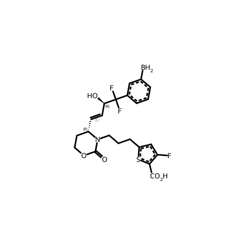 Bc1cccc(C(F)(F)[C@H](O)/C=C/[C@H]2CCOC(=O)N2CCCc2cc(F)c(C(=O)O)s2)c1